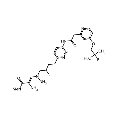 CNC(=O)/C(N)=C/N(N)CC(F)CCc1ccc(NC(=O)Cc2cc(OCC(C)(C)F)ccn2)nn1